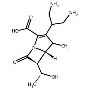 CC1C(C(CN)CN)=C(C(=O)O)N2C(=O)[C@H]([C@@H](C)O)[C@@H]12